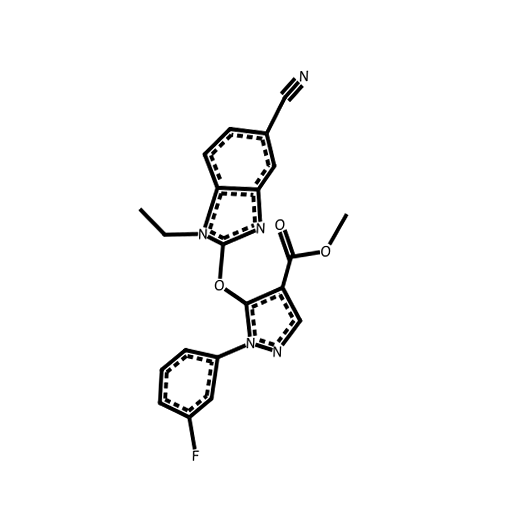 CCn1c(Oc2c(C(=O)OC)cnn2-c2cccc(F)c2)nc2cc(C#N)ccc21